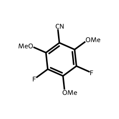 COc1c(F)c(OC)c(C#N)c(OC)c1F